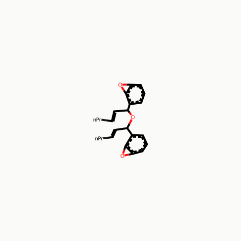 CCCC=CC(OC(C=CCCC)c1cccc2c1O2)c1cccc2c1O2